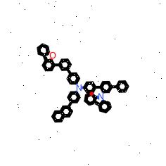 c1ccc2c3ccccc3n(-c3cc(-c4ccccc4)ccc3-c3ccc(N(c4ccc(-c5cccc(-c6cccc7c6oc6ccccc67)c5)cc4)c4ccc(-c5ccc6ccccc6c5)cc4)cc3)c2c#1